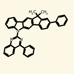 CC1(C)c2cc(-c3ccccc3)ccc2-c2cc3c(cc21)c1ccccc1n3-c1nc(-c2ccccc2)c2ccccc2n1